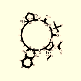 CC[C@@H]1[C@@H]2CN(C(=O)[C@H](C(C)(C)C)NC(=O)O[C@]3(C)CCC[C@H]3CCCCCc3nc4ccccc4nc3O2)[C@@H]1C(C)=O